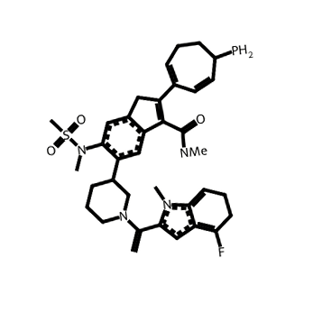 C=C(c1cc2c(n1C)=CCCC=2F)N1CCCC(c2cc3c(cc2N(C)S(C)(=O)=O)CC(C2=CCCC(P)C=C2)=C3C(=O)NC)C1